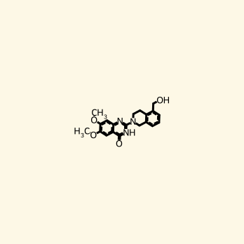 COc1cc2nc(N3CCc4c(CO)cccc4C3)[nH]c(=O)c2cc1OC